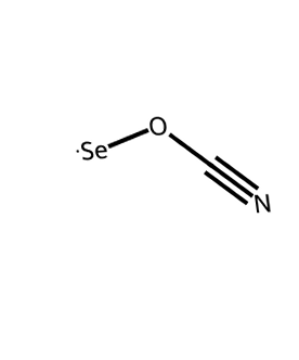 N#CO[Se]